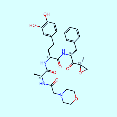 C[C@H](NC(=O)CN1CCOCC1)C(=O)N[C@@H](CCc1ccc(O)c(O)c1)C(=O)N[C@@H](Cc1ccccc1)C(=O)[C@@]1(C)CO1